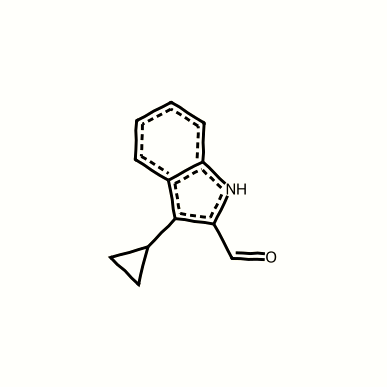 O=Cc1[nH]c2ccccc2c1C1CC1